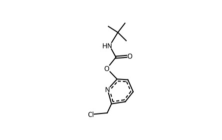 CC(C)(C)NC(=O)Oc1cccc(CCl)n1